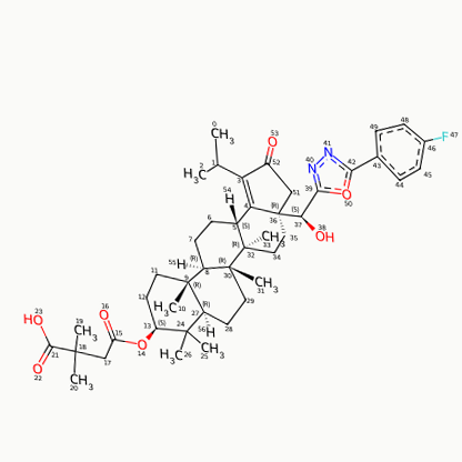 CC(C)C1=C2[C@H]3CC[C@@H]4[C@@]5(C)CC[C@H](OC(=O)CC(C)(C)C(=O)O)C(C)(C)[C@@H]5CC[C@@]4(C)[C@]3(C)CC[C@@]2([C@H](O)c2nnc(-c3ccc(F)cc3)o2)CC1=O